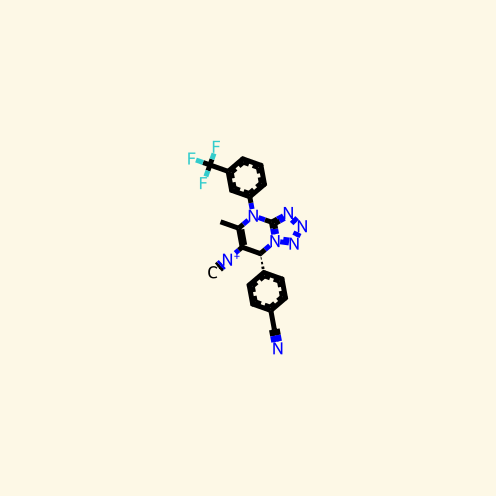 [C-]#[N+]C1=C(C)N(c2cccc(C(F)(F)F)c2)c2nnnn2[C@@H]1c1ccc(C#N)cc1